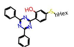 CCCCCCSc1ccc(-c2nc(-c3ccccc3)nc(-c3ccccc3)n2)c(O)c1